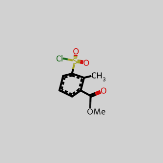 COC(=O)c1cccc(S(=O)(=O)Cl)c1C